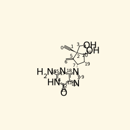 C#C[C@]1(CO)C(=C)[C@@H](n2cnc3c(=O)[nH]c(N)nc32)C[C@@H]1O